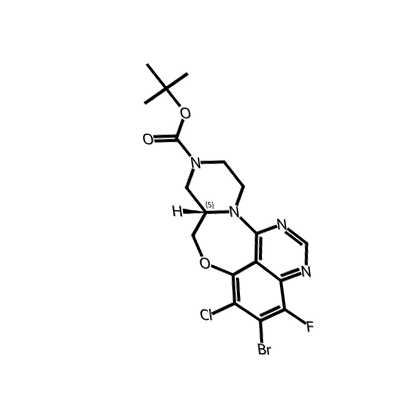 CC(C)(C)OC(=O)N1CCN2c3ncnc4c(F)c(Br)c(Cl)c(c34)OC[C@@H]2C1